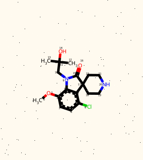 COc1ccc(Cl)c2c1N(CC(C)(C)O)C(=O)C21CCNCC1